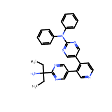 CCC(N)(CC)c1ncc(-c2cnccc2-c2cnc(N(c3ccccc3)c3ccccc3)nc2)cn1